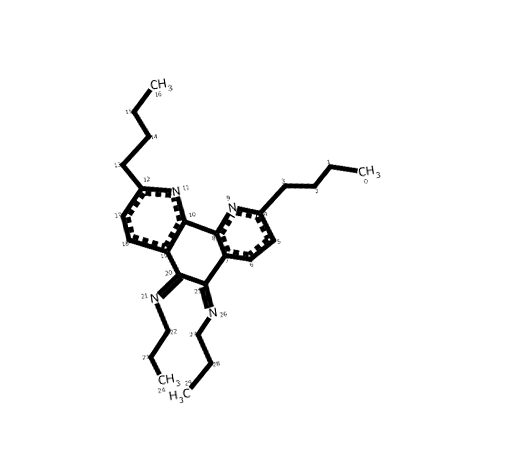 CCCCc1ccc2c(n1)-c1nc(CCCC)ccc1C(=N/CCC)/C2=N\CCC